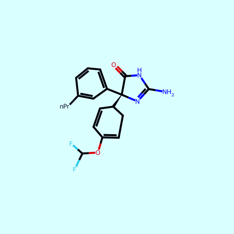 CCCc1cccc([C@@]2(C3C=CC(OC(F)F)=CC3)N=C(N)NC2=O)c1